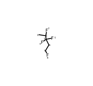 CC(F)C(F)(F)C[CH]F